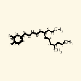 CCCC(C)CCCC(CCC)CCCCCc1ccc(F)c(F)c1